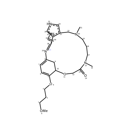 COCCCOC1=CC=C2CC1OCC(=O)N(C)CCCN(C)Cc1c[nH]c3c1/C(=N/2)N=CN3